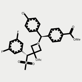 COC(=O)c1ccc([C@H](c2ccc(Cl)cc2)N2CC(OC(C)=O)([C@@H](c3cc(F)cc(F)c3)S(C)(=O)=O)C2)cc1